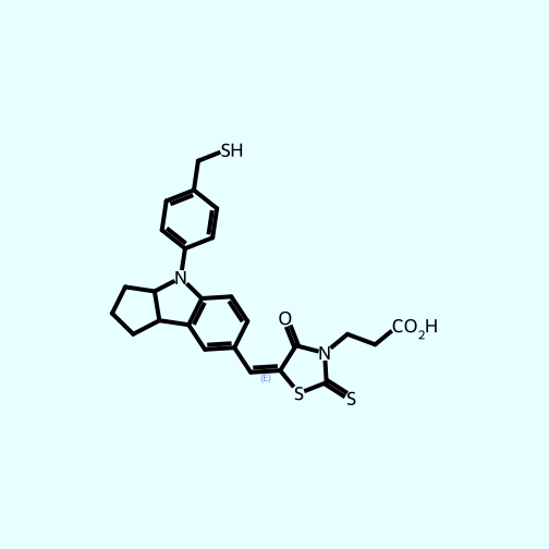 O=C(O)CCN1C(=O)/C(=C\c2ccc3c(c2)C2CCCC2N3c2ccc(CS)cc2)SC1=S